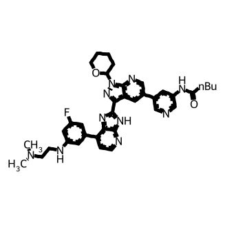 CCCCC(=O)Nc1cncc(-c2cnc3c(c2)c(-c2nc4c(-c5cc(F)cc(NCCN(C)C)c5)ccnc4[nH]2)nn3C2CCCCO2)c1